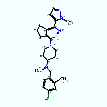 Cc1cc(F)ccc1CN(C)C1CCN(c2nnc(-c3ccnn3C)c3c2CCC3)CC1